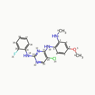 CNc1cc(OC)ccc1Nc1nc(Nc2ccccc2F)ncc1Cl